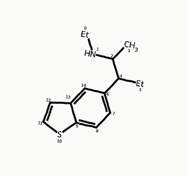 CCNC(C)C(CC)c1ccc2sccc2c1